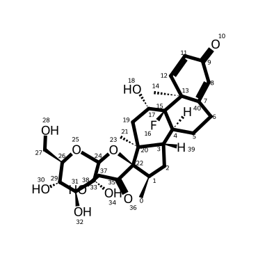 C[C@@H]1C[C@H]2[C@@H]3CCC4=CC(=O)C=C[C@]4(C)[C@@]3(F)[C@@H](O)C[C@]2(C)[C@@]1(OC1O[C@H](CO)[C@@H](O)[C@H](O)[C@H]1O)C(=O)CO